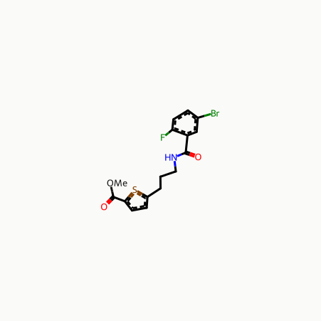 COC(=O)c1ccc(CCCNC(=O)c2cc(Br)ccc2F)s1